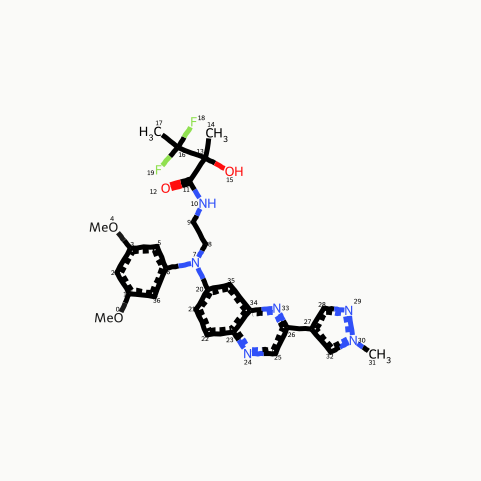 COc1cc(OC)cc(N(CCNC(=O)C(C)(O)C(C)(F)F)c2ccc3ncc(-c4cnn(C)c4)nc3c2)c1